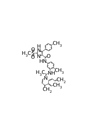 C=C/C=C\C(=C/C)C(=C)/C=C\N=C(/C)Nc1cc(NC(=O)c2nc(S(C)(=O)=O)[nH]c2-c2ccc(C)cc2)ccc1C